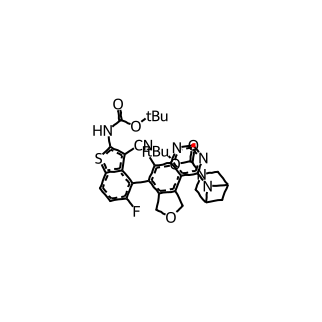 CC(C)(C)OC(=O)Nc1sc2ccc(F)c(-c3c4c(c5c(N6C7CC6CN(C(=O)OC(C)(C)C)C7)ncnc5c3F)COC4)c2c1C#N